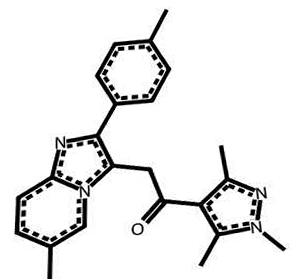 Cc1ccc(-c2nc3ccc(C)cn3c2CC(=O)c2c(C)nn(C)c2C)cc1